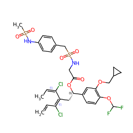 C=C/C(Cl)=C(C[C@H](OC(=O)CNS(=O)(=O)Cc1ccc(NS(C)(=O)=O)cc1)c1ccc(OC(F)F)c(OCC2CC2)c1)\C(Cl)=C/C